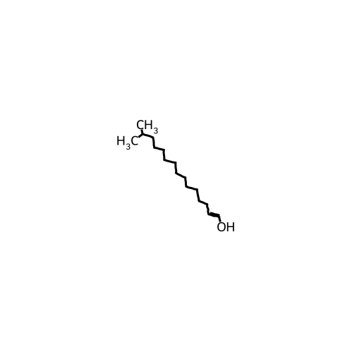 CC(C)CCCCCCCCCCCC=CO